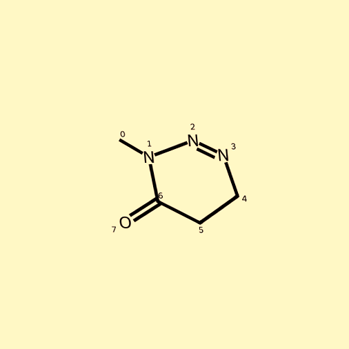 CN1N=NCCC1=O